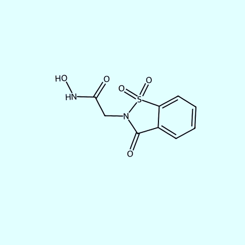 O=C(CN1C(=O)c2ccccc2S1(=O)=O)NO